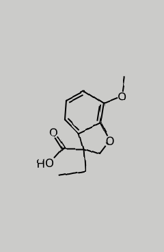 CCC1(C(=O)O)COc2c(OC)cccc21